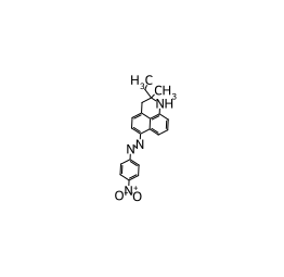 CCC1(C)Cc2ccc(N=Nc3ccc([N+](=O)[O-])cc3)c3cccc(c23)N1